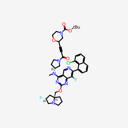 CN(c1nc(OC[C@@]23CCCN2C[C@H](F)C3)nc2c(F)c(-c3cccc4cccc(Cl)c34)ncc12)[C@@H]1CCN(C(=O)C#CC2CN(C(=O)OC(C)(C)C)CCO2)C1